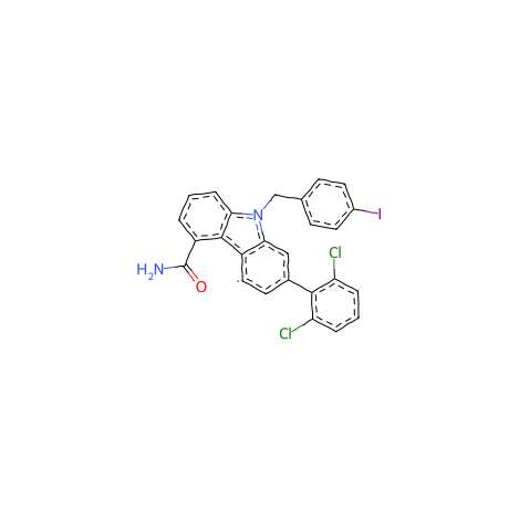 NC(=O)c1cccc2c1c1[c]cc(-c3c(Cl)cccc3Cl)cc1n2Cc1ccc(I)cc1